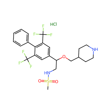 CS(=O)(=O)NCC(OCC1CCNCC1)c1cc(C(F)(F)F)c(-c2ccccc2)c(C(F)(F)F)c1.Cl